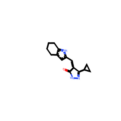 O=C1NN=C(C2CC2)C1=Cc1cc2c([nH]1)CCCC2